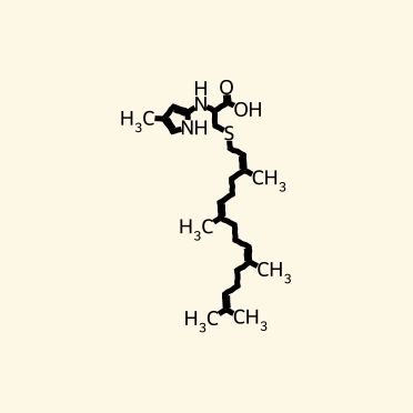 CC(C)=CCCC(C)=CCCC(C)=CCCC(C)=CCSCC(Nc1cc(C)c[nH]1)C(=O)O